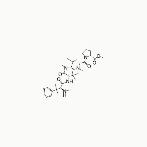 CN[C@H](C(=O)N[C@H](C(=O)N(C)[C@H](CN(C)CC(=O)N1CCC[C@@H]1C(=O)OC)C(C)C)C(C)(C)C)C(C)(C)c1ccccc1